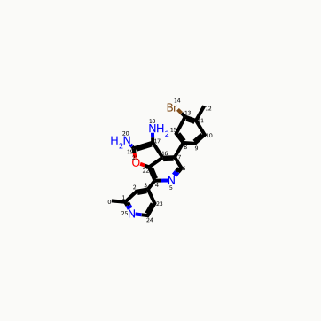 Cc1cc(-c2ncc(-c3ccc(C)c(Br)c3)c3c(N)c(N)oc23)ccn1